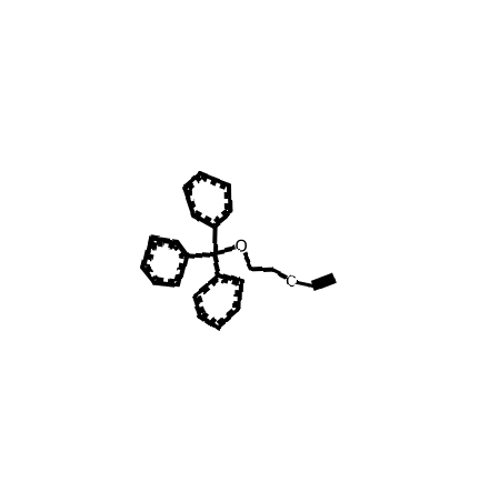 C#CCCCOC(c1ccccc1)(c1ccccc1)c1ccccc1